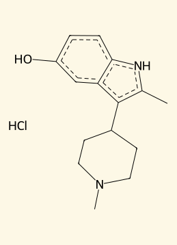 Cc1[nH]c2ccc(O)cc2c1C1CCN(C)CC1.Cl